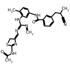 C=N/C(=N\C=C1/CSC(NC(C)=O)=N1)Nc1cc(NC(=O)c2cccc(CC(C)C#N)c2)ccc1C